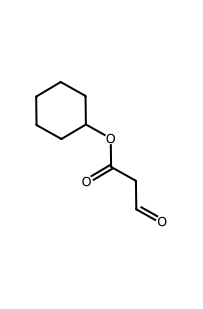 O=CCC(=O)OC1CCCCC1